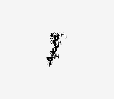 CCC(CNC(=O)c1ccc(N)c(OC(C)=O)c1)N1Cc2cnc(Nc3cc(C)cc(C(F)(F)F)c3)nc2C1